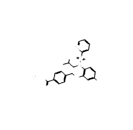 COC(=O)c1ccc(COc2cc(Cl)ccc2N(CC(C)F)S(=O)(=O)c2ccccn2)cc1